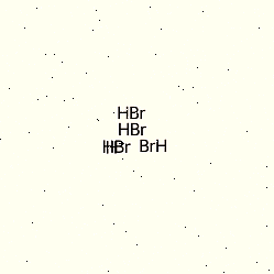 Br.Br.Br.Br.[H+]